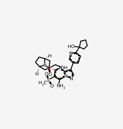 CS(=O)(=O)c1c([C@@H]2C[C@H]3CC[C@@H](C2)N3C(=O)CO)nc2c(-c3ccc(C4(O)CCCC4)nc3)cnn2c1N